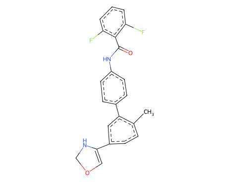 Cc1ccc(C2=COCN2)cc1-c1ccc(NC(=O)c2c(F)cccc2F)cc1